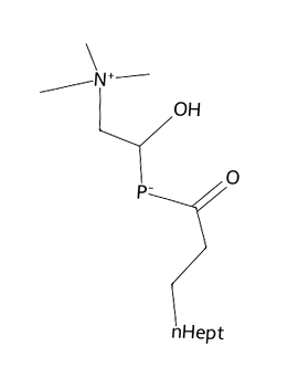 CCCCCCCCCC(=O)[P-]C(O)C[N+](C)(C)C